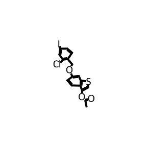 CC(=O)Oc1csc2cc(OCc3ccc(I)cc3Cl)ccc12